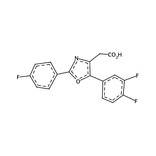 O=C(O)Cc1nc(-c2ccc(F)cc2)oc1-c1ccc(F)c(F)c1